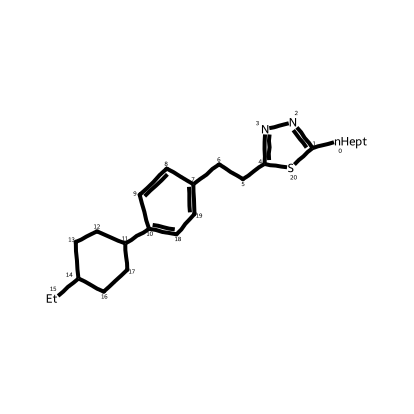 CCCCCCCc1nnc(CCc2ccc(C3CCC(CC)CC3)cc2)s1